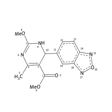 COC(=O)C1=C(C)N=C(OC)NC1c1ccc2nonc2c1